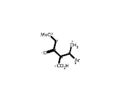 COCC(=O)C(C(=O)O)C(C)C(C)=O